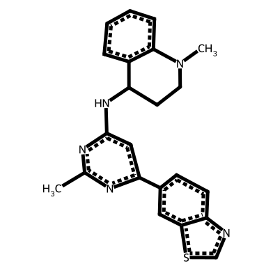 Cc1nc(NC2CCN(C)c3ccccc32)cc(-c2ccc3ncsc3c2)n1